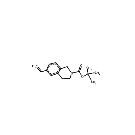 C=Cc1ccc2c(c1)CCN(C(=O)OC(C)(C)C)C2